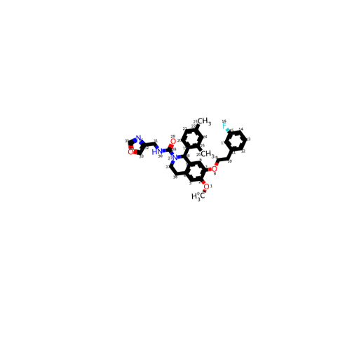 COc1cc2c(cc1OCCc1cccc(F)c1)C(c1ccc(C)cc1C)N(C(=O)NCc1cocn1)CC2